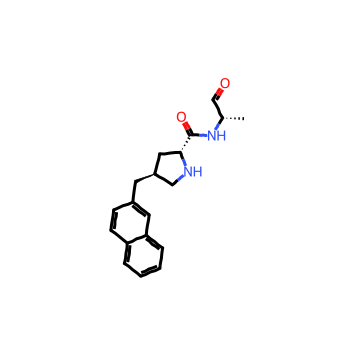 C[C@@H](C=O)NC(=O)[C@H]1C[C@H](Cc2ccc3ccccc3c2)CN1